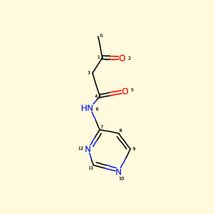 CC(=O)CC(=O)Nc1ccncn1